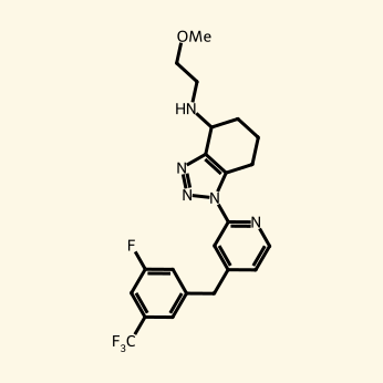 COCCNC1CCCc2c1nnn2-c1cc(Cc2cc(F)cc(C(F)(F)F)c2)ccn1